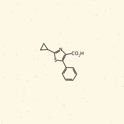 O=C(O)c1nc(C2CC2)sc1-c1ccccc1